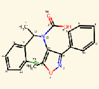 Cc1onc(-c2ccccc2)c1N(C(=O)O)C(C)c1ccccc1Br